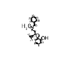 CN(CCC(Oc1ccccc1O)C1CC1)Cc1ccccc1